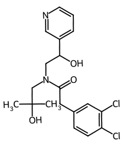 CC(C)(O)CN(CC(O)c1cccnc1)C(=O)Cc1ccc(Cl)c(Cl)c1